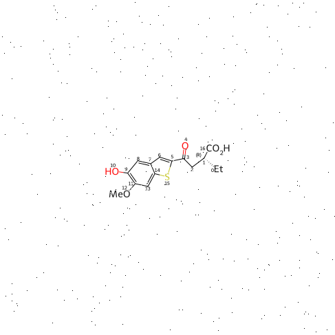 CC[C@H](CC(=O)c1cc2cc(O)c(OC)cc2s1)C(=O)O